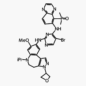 COc1cc2c(cc1Nc1ncc(Br)c(Nc3ccc4nccnc4c3P(C)(C)=O)n1)-c1cnn(C3COC3)c1CCN2C(C)C